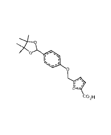 CC1(C)OC(c2ccc(OCc3ccc(C(=O)O)o3)cc2)OC1(C)C